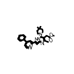 COC(=O)Cc1c(C)nc2cc(-c3cc(-c4ccccc4)ccn3)nn2c1N1CCC(C)(C)CC1